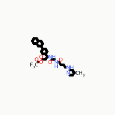 Cc1ccnc(NCCCC(=O)NCC(=O)NC(CC(=O)OC(=O)C(F)(F)F)c2ccc(-c3ccc4ccccc4c3)cc2)c1